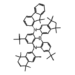 Cc1cc2c(cc1N1c3cc(C(C)(C)C)ccc3B3c4cc5c(cc4N(c4cccc6c4C(C)(C)c4ccccc4-6)c4cc(C(C)(C)C)cc1c43)C(C)(C)CC5(C)C)C(C)(C)CCC2(C)C